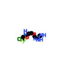 N=C(c1cc(Oc2ccc3ccc(C(=O)Nc4ccc(Cl)c(C(F)(F)F)c4)cc3c2)ccn1)N1CCNCC1